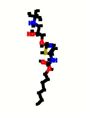 CCCCCCCOC(=O)Nc1cnc(OCC(O)CNC(C)(C)C)s1